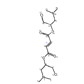 CN(C)CC(CCl)OC(=O)/C=C/C(=O)OC(CCl)CN(C)C